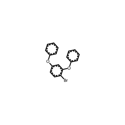 Brc1ccc(Oc2ccccc2)cc1Oc1ccccc1